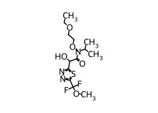 CCOCCON(C(=O)C(O)c1nnc(C(F)(F)OC)s1)C(C)C